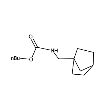 CCCCOC(=O)NCC12CCC(CC1)C2